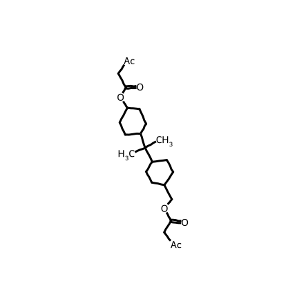 CC(=O)CC(=O)OCC1CCC(C(C)(C)C2CCC(OC(=O)CC(C)=O)CC2)CC1